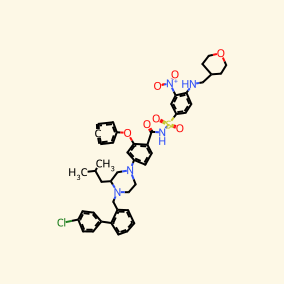 CC(C)CC1CN(c2ccc(C(=O)NS(=O)(=O)c3ccc(NCC4CCOCC4)c([N+](=O)[O-])c3)c(Oc3ccccc3)c2)CCN1Cc1ccccc1-c1ccc(Cl)cc1